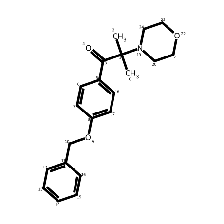 CC(C)(C(=O)c1ccc(OCc2ccccc2)cc1)N1CCOCC1